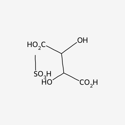 CS(=O)(=O)O.O=C(O)C(O)C(O)C(=O)O